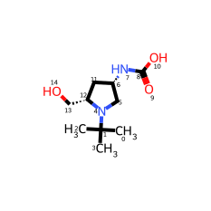 CC(C)(C)N1C[C@@H](NC(=O)O)C[C@H]1CO